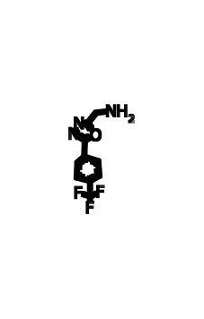 NCc1nnc(-c2ccc(C(F)(F)F)cc2)o1